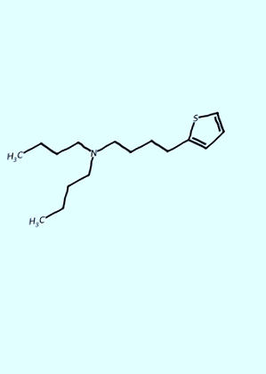 CCCCN(CCCC)CCCCc1cccs1